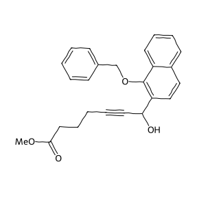 COC(=O)CCCC#CC(O)c1ccc2ccccc2c1OCc1ccccc1